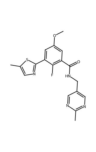 COc1cc(C(=O)NCc2cnc(C)nc2)c(F)c(-c2ncc(C)s2)c1